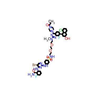 C=CC(=O)N1CCN(c2nc(N(C)CCOCCOCCNS(=O)(=O)c3ccc(Nc4ncc(Br)c(Nc5cccc(F)c5C(N)=O)n4)cc3)nc3c(F)c(-c4cc(O)cc5ccccc45)c(Cl)cc23)CC1